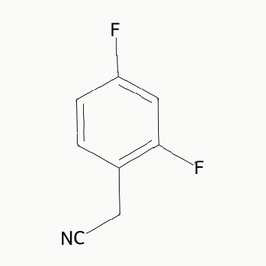 N#CCc1ccc(F)cc1F